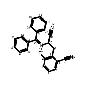 N#Cc1cccc(F)c1CC(C#N)N=C(c1ccccc1)c1ccccc1